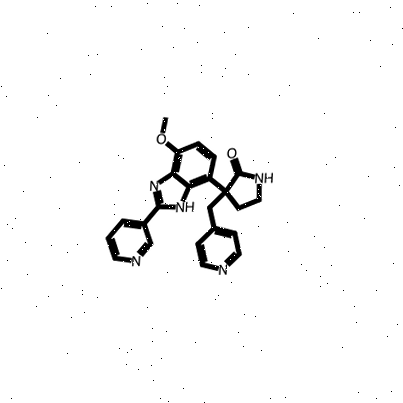 COc1ccc(C2(Cc3ccncc3)CCNC2=O)c2[nH]c(-c3cccnc3)nc12